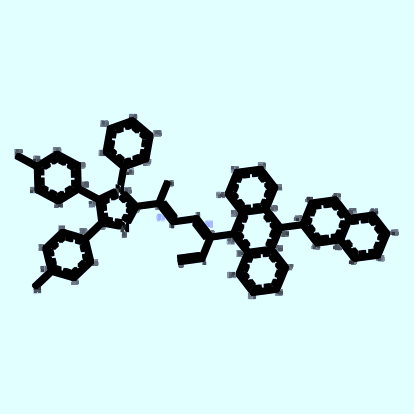 C=C/C(=C\C=C(/C)c1nc(-c2ccc(C)cc2)c(-c2ccc(C)cc2)n1-c1ccccc1)c1c2ccccc2c(-c2ccc3ccccc3c2)c2ccccc12